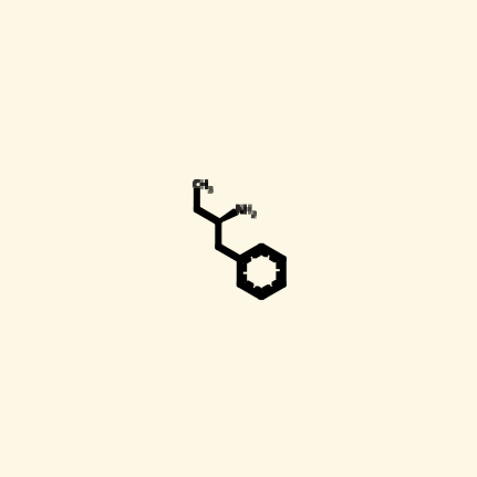 CC[C@@H](N)Cc1ccccc1